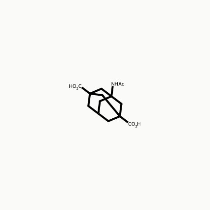 CC(=O)NC12CC3CC(C(=O)O)(C1)CC(C(=O)O)(C3)C2